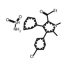 CCC(=O)c1c(-c2ccccc2)c(-c2ccc(Cl)cc2)c(C)n1C.N[SH](=O)=O